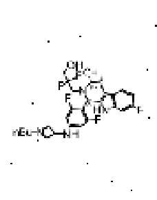 CCCCN1CC(Nc2cc(F)c([C@@H]3c4[nH]c5cc(F)ccc5c4C[C@@H](C)N3CC(F)(F)CO)c(F)c2)C1